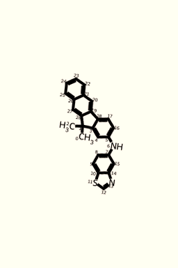 CC1(C)c2cc(Nc3ccc4scnc4c3)ccc2-c2cc3ccccc3cc21